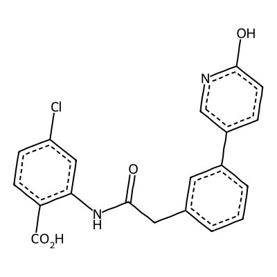 O=C(Cc1cccc(-c2ccc(O)nc2)c1)Nc1cc(Cl)ccc1C(=O)O